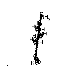 N[C@H](C=O)CCCCNC(=O)CC[C@H](NC(=O)CCC(NC(=O)CC[C@H](NC(=O)CCCCCCCCCOc1ccc(C(=O)O)cc1)C(=O)O)C(=O)O)C(=O)O